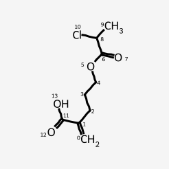 C=C(CCCOC(=O)C(C)Cl)C(=O)O